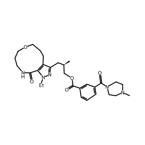 CCn1nc(C[C@@H](C)COC(=O)c2cccc(C(=O)N3CCN(C)CC3)c2)c2c1C(=O)NCCCOCCC2